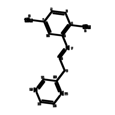 CC(C)(C)c1ccc(C(C)(C)C)c(N=CCc2cnccn2)c1